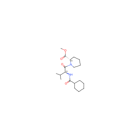 COC(=O)[C@@H]1CCCCN1C(=O)[C@@H](NC(=O)C1CCCCC1)C(C)C